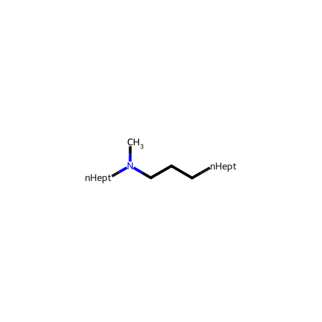 CCCCCCCCCCN(C)CCCCCCC